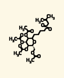 C=C(C)CS(=O)(=O)CCCCC1O[C@H](COC(C)=O)[C@@H](OC(C)=O)[C@H](OC(C)=O)[C@H]1OC(C)=O